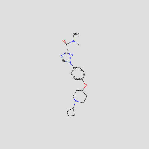 CON(C)C(=O)c1ncn(-c2ccc(OC3CCN(C4CCC4)CC3)cc2)n1